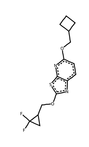 FC1(F)CC1COc1nc2ccc(OCC3CCC3)nc2s1